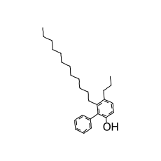 CCCCCCCCCCCCc1c(CCC)ccc(O)c1-c1ccccc1